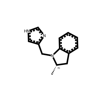 C[C@H]1Cc2ccccc2N1Cc1c[nH]cn1